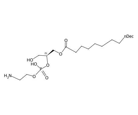 CCCCCCCCCCCCCCCCCC(=O)OC[C@H](CO)OP(=O)(O)OCCN